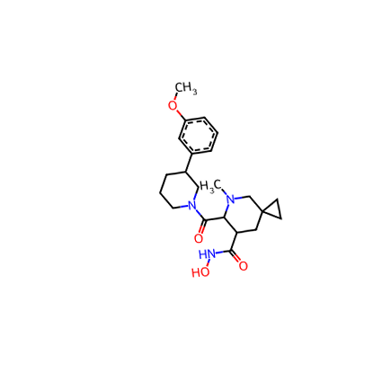 COc1cccc(C2CCCN(C(=O)C3C(C(=O)NO)CC4(CC4)CN3C)C2)c1